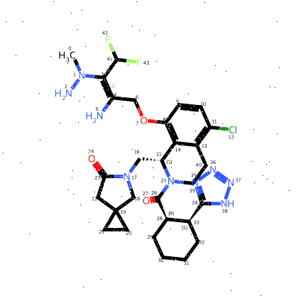 CN(N)/C(=C(\N)COc1ccc(Cl)c2c1[C@@H](CN1CC3(CC3)CC1=O)N(C(=O)[C@@H]1CCCC[C@@H]1c1nnn[nH]1)CC2)C(F)F